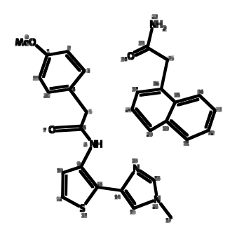 COc1ccc(CC(=O)Nc2ccsc2-c2cn(C)cn2)cc1.NC(=O)Cc1cccc2ccccc12